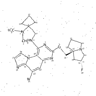 CN(C)C1(CNc2nc(OC[C@@]34CCCN3C[C@H](F)C4)nc3cc(Br)c4nccn4c23)CCC1